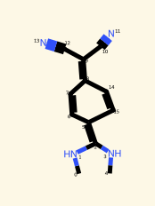 CNC(NC)=c1ccc(=C(C#N)C#N)cc1